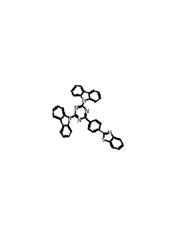 c1ccc2sc(-c3ccc(-c4nc(-n5c6ccccc6c6ccccc65)nc(-n5c6ccccc6c6ccccc65)n4)cc3)nc2c1